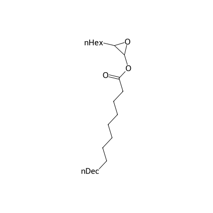 CCCCCCCCCCCCCCCCCC(=O)OC1OC1CCCCCC